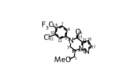 COC[C@H]1CN(c2ccc(C(F)(F)F)c(Cl)c2)C(=O)c2ccnn21